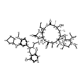 CC[C@H]1OC(=O)[C@H](C)[C@@H](O)[C@H](C)[C@@H](O[C@@H]2O[C@H](C)C[C@@H](OC)[C@@H]2N(C)C)[C@](C)(OC)C[C@@H](C)C(=O)[C@H](C)[C@H]2[C@H](SCCN(Cc3c(Cl)cncc3Cl)c3ccc(OC)c(OC4CCCC4)c3)C(=O)O[C@@]21C